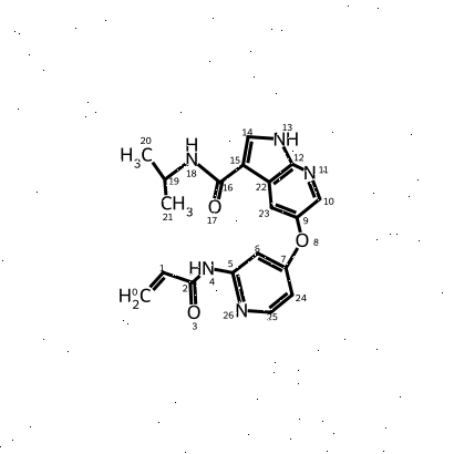 C=CC(=O)Nc1cc(Oc2cnc3[nH]cc(C(=O)NC(C)C)c3c2)ccn1